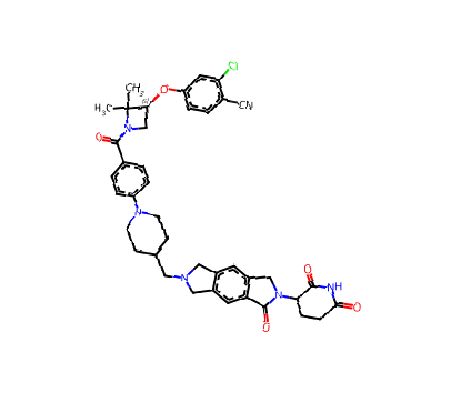 CC1(C)[C@@H](Oc2ccc(C#N)c(Cl)c2)CN1C(=O)c1ccc(N2CCC(CN3Cc4cc5c(cc4C3)C(=O)N(C3CCC(=O)NC3=O)C5)CC2)cc1